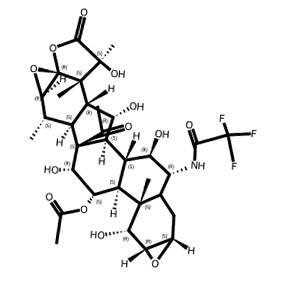 CC(=O)O[C@H]1[C@H]2[C@@H]([C@@H](O)[C@H](NC(=O)C(F)(F)F)C3C[C@@H]4O[C@@H]4[C@H](O)[C@@]32C)[C@@H]2[C@@H](O)[C@@H]3[C@H]([C@H](C)[C@H]4O[C@]45OC(=O)[C@@](C)(O)[C@]35C)[C@@]2(C(C)=O)[C@H]1O